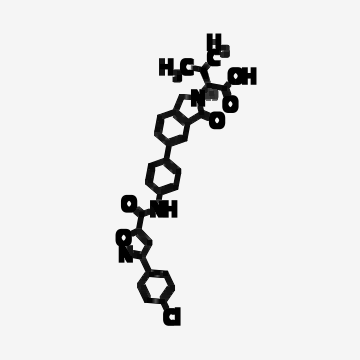 CC(C)[C@@H](C(=O)O)N1Cc2ccc(-c3ccc(NC(=O)c4cc(-c5ccc(Cl)cc5)no4)cc3)cc2C1=O